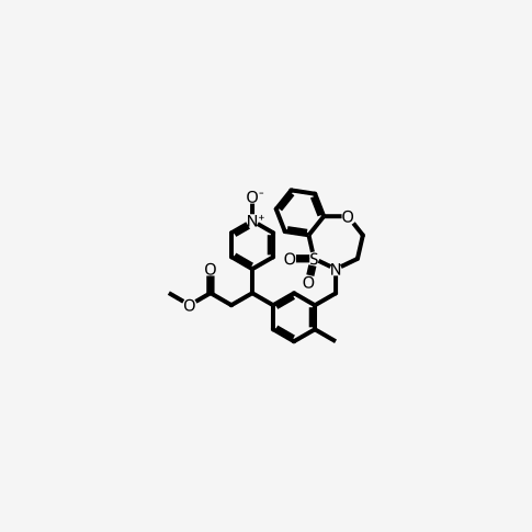 COC(=O)CC(c1cc[n+]([O-])cc1)c1ccc(C)c(CN2CCOc3ccccc3S2(=O)=O)c1